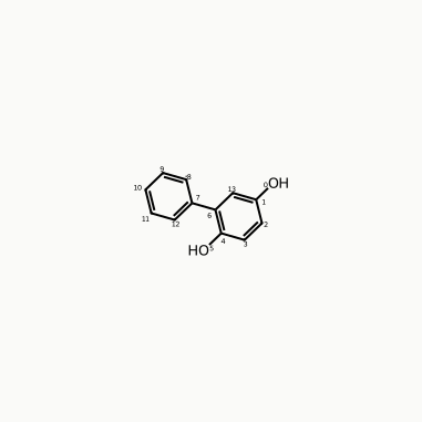 Oc1ccc(O)c(-c2[c]cccc2)c1